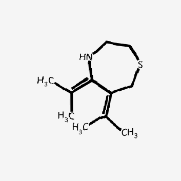 CC(C)=C1CSCCNC1=C(C)C